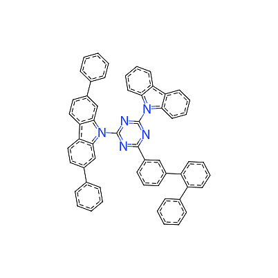 c1ccc(-c2ccc3c4ccc(-c5ccccc5)cc4n(-c4nc(-c5cccc(-c6ccccc6-c6ccccc6)c5)nc(-n5c6ccccc6c6ccccc65)n4)c3c2)cc1